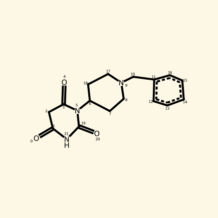 O=C1CC(=O)N(C2CCN(Cc3ccccc3)CC2)C(=O)N1